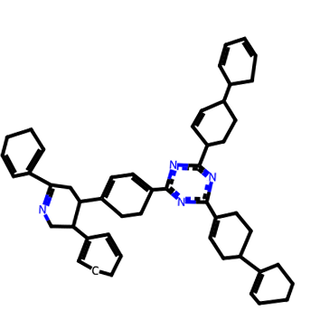 C1=CCC(C2C=CC(c3nc(C4=CC=C(C5CC(C6=CCCC=C6)=NCC5C5=CCCC=C5)CC4)nc(C4=CCC(C5=CCCCC5)CC4)n3)CC2)C=C1